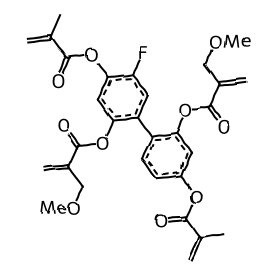 C=C(C)C(=O)Oc1ccc(-c2cc(F)c(OC(=O)C(=C)C)cc2OC(=O)C(=C)COC)c(OC(=O)C(=C)COC)c1